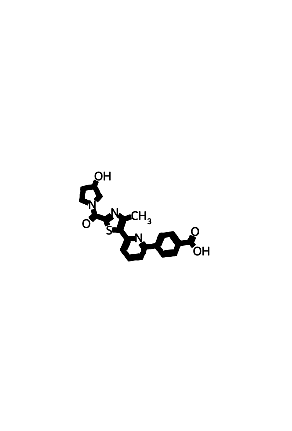 Cc1nc(C(=O)N2CCC(O)C2)sc1-c1cccc(-c2ccc(C(=O)O)cc2)n1